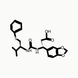 CC(C)[C@@H](CSc1ccccc1)NC(=O)N[C@H](CC(=O)O)c1ccc2c(c1)OCO2